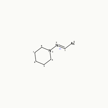 CC(=O)/C=N/N1CCCCC1